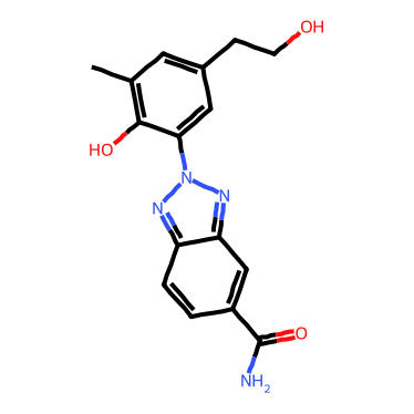 Cc1cc(CCO)cc(-n2nc3ccc(C(N)=O)cc3n2)c1O